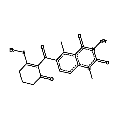 CCCn1c(=O)c2c(C)c(C(=O)C3=C(SCC)CCCC3=O)ccc2n(C)c1=O